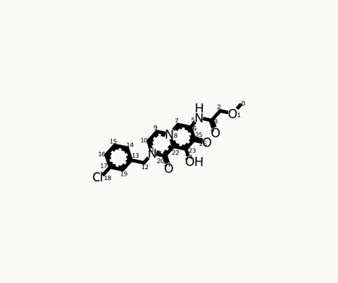 COCC(=O)Nc1cn2ccn(Cc3cccc(Cl)c3)c(=O)c2c(O)c1=O